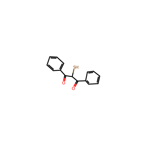 O=C(c1ccccc1)C(S)C(=O)c1ccccc1